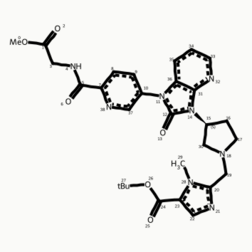 COC(=O)CNC(=O)c1ccc(-n2c(=O)n([C@H]3CCN(Cc4ncc(C(=O)OC(C)(C)C)n4C)C3)c3ncccc32)cn1